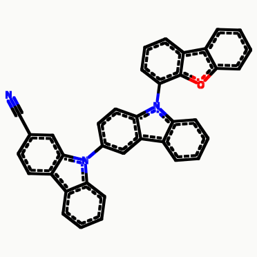 N#Cc1ccc2c3ccccc3n(-c3ccc4c(c3)c3ccccc3n4-c3cccc4c3oc3ccccc34)c2c1